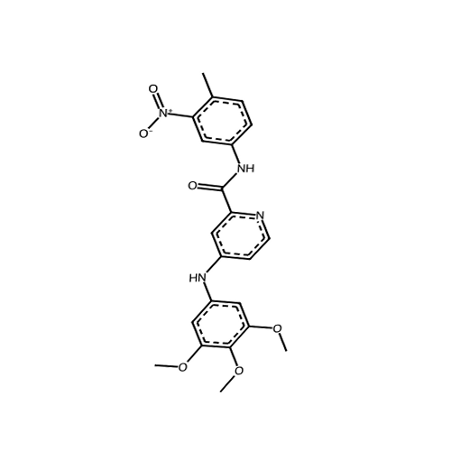 COc1cc(Nc2ccnc(C(=O)Nc3ccc(C)c([N+](=O)[O-])c3)c2)cc(OC)c1OC